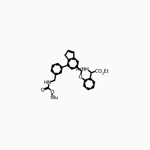 CCOC(=O)C(NC(C)=O)c1ccccc1OCc1cc2c(c(-c3cccc(CNC(=O)OC(C)(C)C)c3)c1)CC=C2